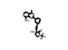 [2H]C([2H])([2H])N1CC[C@@](O)(C#Cc2cccc(-c3nc(C)c4ccnc(N)c4n3)c2)C1=O